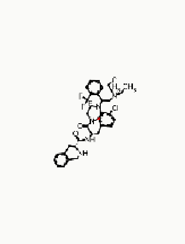 CCN(CC)CC(c1ccccc1C(F)(F)F)N1CCN(C(=O)[C@@H](Cc2ccc(Cl)cc2)NC(=O)[C@H]2Cc3ccccc3CN2)CC1